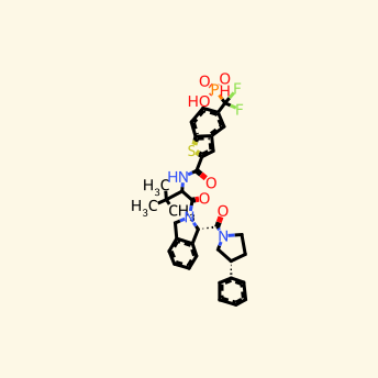 CC(C)(C)C(NC(=O)c1cc2cc(C(F)(F)P(=O)(O)O)ccc2s1)C(=O)N1Cc2ccccc2[C@H]1C(=O)N1CC[C@H](c2ccccc2)C1